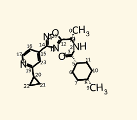 C[C@H](NC(=O)[C@H]1CC[C@@H](C)CC1)c1nc(-c2ccnc(C3CC3)c2)no1